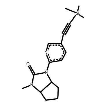 CN1C(=O)N(c2ccc(C#C[Si](C)(C)C)cn2)C2CCCC21